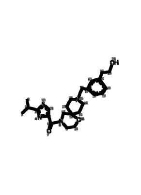 CC(C)c1nc(C(=O)N2CCOC3(CCN(Cc4cccc(CCO)c4)CC3)C2)cs1